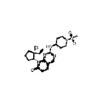 C=C[C@]1(CC)CCC[C@H]1n1c(=O)ccc2cnc(NC3CCN(S(C)(=O)=O)CC3)nc21